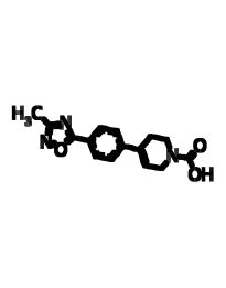 Cc1noc(-c2ccc(C3=CCN(C(=O)O)CC3)cc2)n1